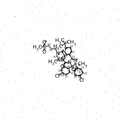 CCOc1nc(C(C)(C)C)ccc1C1=N[C@@](C)(c2ccc(Cl)cc2)[C@@](C)(c2ccc(Cl)cc2)N1C(=O)N1CCN(CCCS(C)(=O)=O)CC1